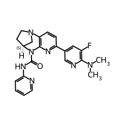 CN(C)c1ncc(-c2ccc3c(n2)N(C(=O)Nc2ccccn2)[C@H]2CCN3C2)cc1F